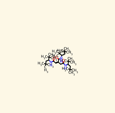 CC(C)(C)CC(NC(=O)C=C(CC(=O)NC(CC(C)(C)C)C(C)(C)C)C(=O)NC(CC(C)(C)C)C(C)(C)C)C(C)(C)C